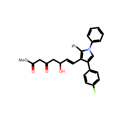 COC(=O)CC(=O)CC(O)/C=C/c1c(-c2ccc(F)cc2)cn(-c2ccccc2)c1C(C)C